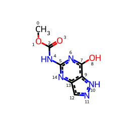 COC(=O)Nc1nc(O)c2[nH]ncc2n1